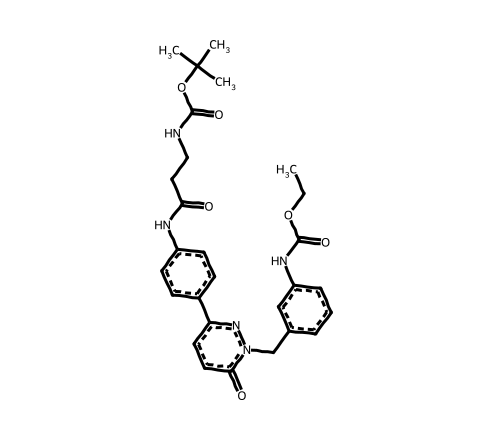 CCOC(=O)Nc1cccc(Cn2nc(-c3ccc(NC(=O)CCNC(=O)OC(C)(C)C)cc3)ccc2=O)c1